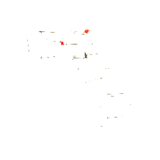 O[C@H](c1ccc(-c2cc(Cl)ccc2F)cc1)C1CC2CCC(C1)N2c1ncccn1